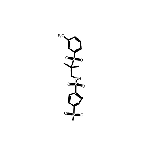 CC(C)(CNS(=O)(=O)c1ccc(S(C)(=O)=O)cc1)S(=O)(=O)c1cccc(C(F)(F)F)c1